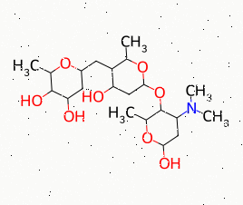 CC1OC(CC2C(O)CC(OC3C(C)OC(O)CC3N(C)C)OC2C)CC(O)C1O